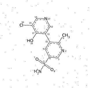 Cc1ncc(S(N)(=O)=O)cc1-c1cncc(Cl)c1O